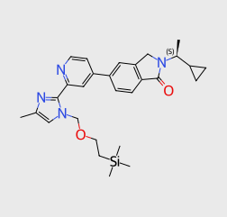 Cc1cn(COCC[Si](C)(C)C)c(-c2cc(-c3ccc4c(c3)CN([C@@H](C)C3CC3)C4=O)ccn2)n1